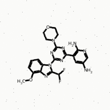 COc1cccc2c1nc(C(F)F)n2-c1nc(-c2cc(N)cnc2N)nc(N2CCOCC2)n1